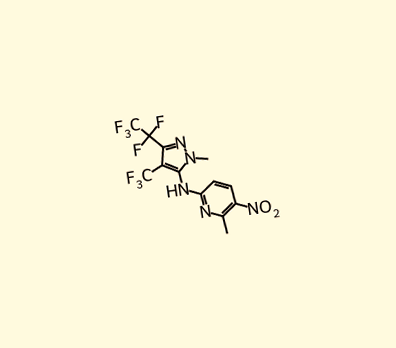 Cc1nc(Nc2c(C(F)(F)F)c(C(F)(F)C(F)(F)F)nn2C)ccc1[N+](=O)[O-]